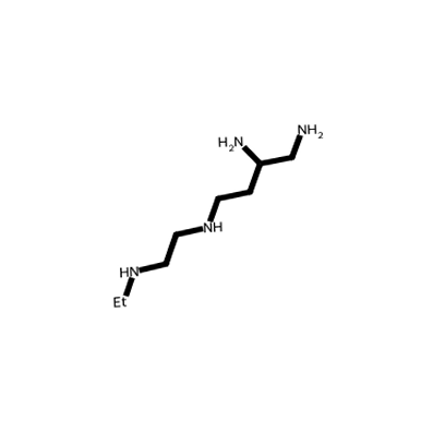 CCNCCNCCC(N)CN